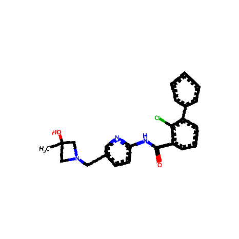 CC1(O)CN(Cc2ccc(NC(=O)c3cccc(-c4ccccc4)c3Cl)nc2)C1